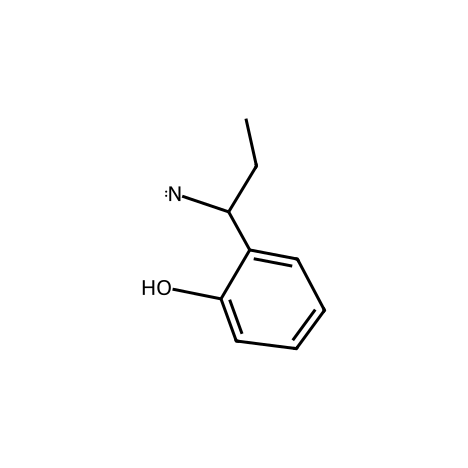 CCC([N])c1ccccc1O